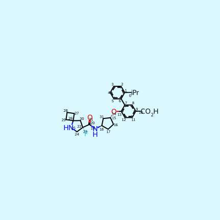 CC(C)c1ccccc1-c1cc(C(=O)O)ccc1O[C@@H]1CC[C@@H](NC(=O)[C@@]2(F)CNC3(CCC3)C2)C1